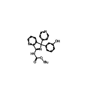 CC(C)(C)OC(=O)NC1=NC(c2ccncc2)(c2cccc(O)c2)c2cccnc21